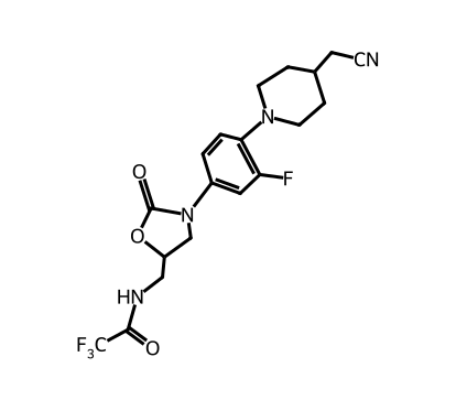 N#CCC1CCN(c2ccc(N3CC(CNC(=O)C(F)(F)F)OC3=O)cc2F)CC1